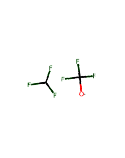 F[C](F)F.[O]C(F)(F)F